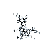 CCCNC(=O)[C@H](CC(=O)N[C@@H]1O[C@H](COC(C)=O)[C@@H](OC(C)=O)[C@H](OC(C)=O)[C@H]1NC(C)=O)NC(=O)CCl